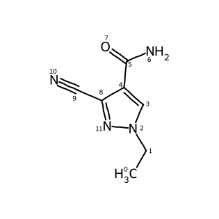 CCn1cc(C(N)=O)c(C#N)n1